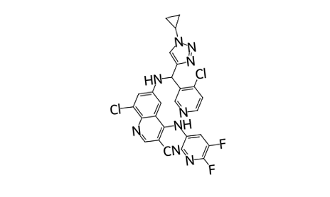 N#Cc1cnc2c(Cl)cc(NC(c3cn(C4CC4)nn3)c3cnccc3Cl)cc2c1Nc1cnc(F)c(F)c1